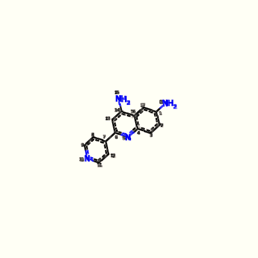 Nc1ccc2nc(-c3ccncc3)cc(N)c2c1